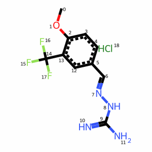 COc1ccc(C=NNC(=N)N)cc1C(F)(F)F.Cl